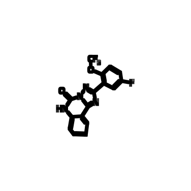 O=c1[nH]c2ccccc2c2nc(-c3cc(F)ccc3OC(F)(F)F)nn12